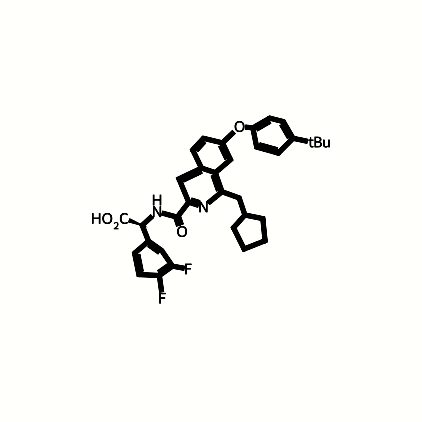 CC(C)(C)c1ccc(Oc2ccc3cc(C(=O)N[C@H](C(=O)O)c4ccc(F)c(F)c4)nc(CC4CCCC4)c3c2)cc1